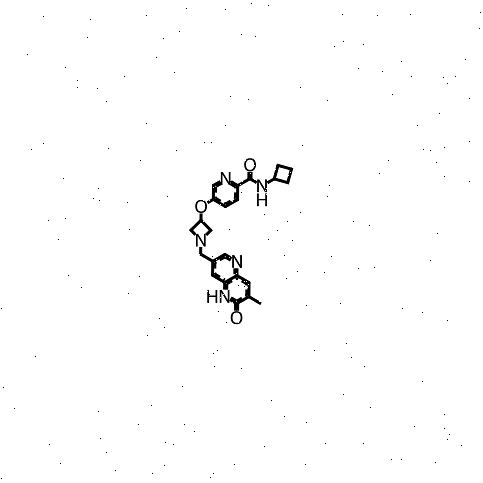 Cc1cc2ncc(CN3CC(Oc4ccc(C(=O)NC5CCC5)nc4)C3)cc2[nH]c1=O